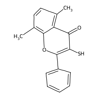 Cc1ccc(C)c2c(=O)c(S)c(-c3ccccc3)oc12